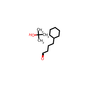 CC(C)(C)O.O=CCCCC1CCCCC1